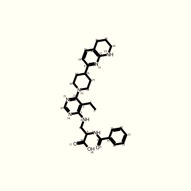 CCc1c(NCC(NC(=O)c2ccccc2)C(=O)O)ncnc1N1CCC(c2ccc3c(n2)NCCC3)CC1